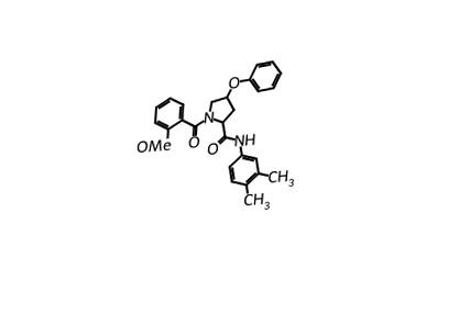 COc1ccccc1C(=O)N1CC(Oc2ccccc2)CC1C(=O)Nc1ccc(C)c(C)c1